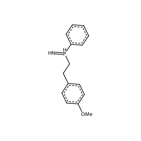 COc1ccc(CC[PH](=N)c2ccccc2)cc1